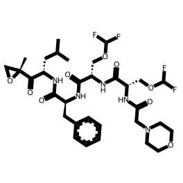 CC(C)C[C@H](NC(=O)[C@H](Cc1ccccc1)NC(=O)[C@H](COC(F)F)NC(=O)[C@H](COC(F)F)NC(=O)CN1CCOCC1)C(=O)[C@@]1(C)CO1